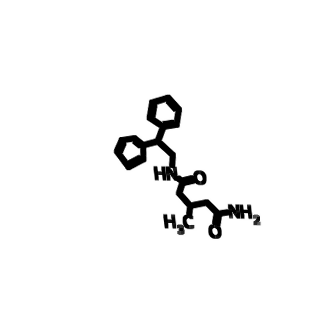 CC(CC(N)=O)CC(=O)NCC(c1ccccc1)c1ccccc1